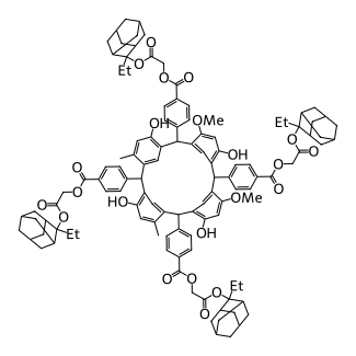 CCC1(OC(=O)COC(=O)c2ccc(C3c4cc(c(O)cc4C)C(c4ccc(C(=O)OCC(=O)OC5(CC)C6CC7CC(C6)CC5C7)cc4)c4cc(c(O)cc4OC)C(c4ccc(C(=O)OCC(=O)OC5(CC)C6CC7CC(C6)CC5C7)cc4)c4cc(c(O)cc4OC)C(c4ccc(C(=O)OCC(=O)OC5(CC)C6CC7CC(C6)CC5C7)cc4)c4cc3c(O)cc4C)cc2)C2CC3CC(C2)CC1C3